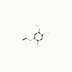 C=CCc1cc(OC)c(O)cc1O